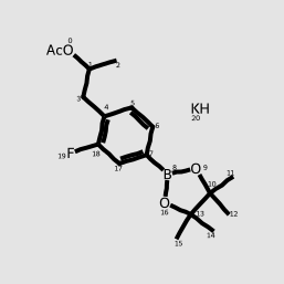 CC(=O)OC(C)Cc1ccc(B2OC(C)(C)C(C)(C)O2)cc1F.[KH]